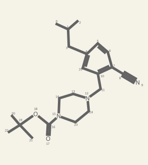 CC(C)Cc1ccc(C#N)c(CN2CCN(C(=O)OC(C)(C)C)CC2)c1